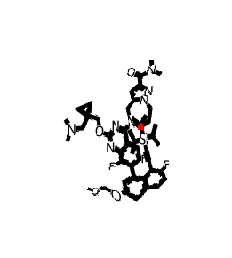 COCOc1cc(-c2c(F)cc3c(N4CCCn5nc(C(=O)N(C)C)cc5C4)nc(OCC4(CN(C)C)CC4)nc3c2F)c2c(C#C[Si](C(C)C)(C(C)C)C(C)C)c(F)ccc2c1